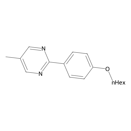 CCCCCCOc1ccc(-c2ncc(C)cn2)cc1